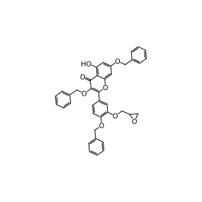 O=c1c(OCc2ccccc2)c(-c2ccc(OCc3ccccc3)c(OCC3CO3)c2)oc2cc(OCc3ccccc3)cc(O)c12